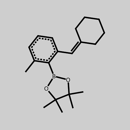 Cc1cccc(C=C2CCCCC2)c1B1OC(C)(C)C(C)(C)O1